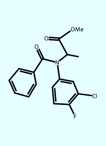 COC(=O)C(C)N(C(=O)c1ccccc1)c1ccc(F)c(Cl)c1